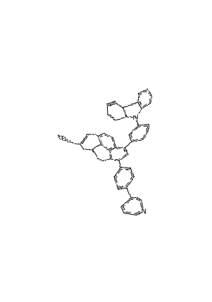 CC(C)(C)C1=Cc2ccc3c(-c4cccc(N5c6ccccc6C6C=CC=CC65)c4)cc(-c4ccc(-c5cccnc5)cc4)c4c3c2C(CC4)C1